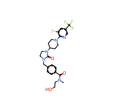 CN(CCO)C(=O)c1ccc(CN2CCN(C3CCN(c4ncc(C(F)(F)F)cc4F)CC3)C2=O)cc1